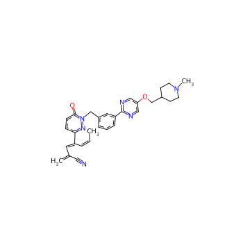 C=C(C#N)/C=C(\C=C/C)c1ccc(=O)n(Cc2cccc(-c3ncc(OCC4CCN(C)CC4)cn3)c2)n1